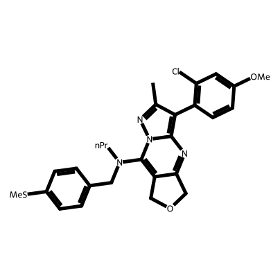 CCCN(Cc1ccc(SC)cc1)c1c2c(nc3c(-c4ccc(OC)cc4Cl)c(C)nn13)COC2